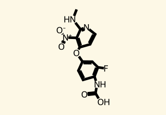 CNc1nccc(Oc2ccc(NC(=O)O)c(F)c2)c1[N+](=O)[O-]